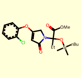 CCCC[Si](C)(C)OC(CC)(C(=O)OC)N1CC(Oc2ccccc2Cl)=CC1=O